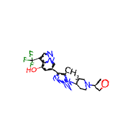 Cc1c(-c2cc(O)c3c(C(F)(F)F)cnn3c2)nnn1C1CCN(C2COC2)CC1